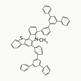 Cn1c2c(-c3cccc(-c4cc(-c5ccccc5)cc(-c5ccccc5)c4)c3)cccc2c2c3sc4ccccc4c3cc(-c3cccc(-c4cc(-c5ccccc5)cc(-c5ccccc5)c4)c3)c21